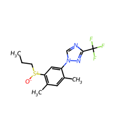 CCC[S+]([O-])c1cc(-n2cnc(C(F)(F)F)n2)c(C)cc1C